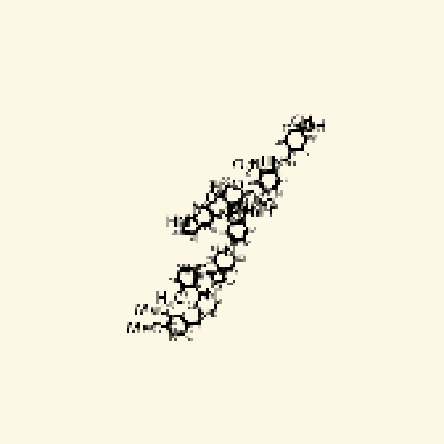 COc1cc(CN2CCN([C@H]3CC4(CCN(c5ccc(C(=O)NS(=O)(=O)c6ccc(NCC7CCC(C)(O)CC7)c([N+](=O)[O-])c6)c(N6c7cc8cc[nH]c8nc7O[C@H]7COCC[C@@H]76)c5)CC4)[C@@H]3C)[C@H](c3ccccc3C)C2)cnc1OC